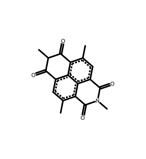 Cc1cc2c3c(c(C)cc4c3c1C(=O)C(C)C4=O)C(=O)N(C)C2=O